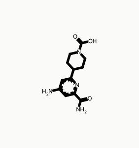 NC(=O)c1cc(N)cc(C2CCN(C(=O)O)CC2)n1